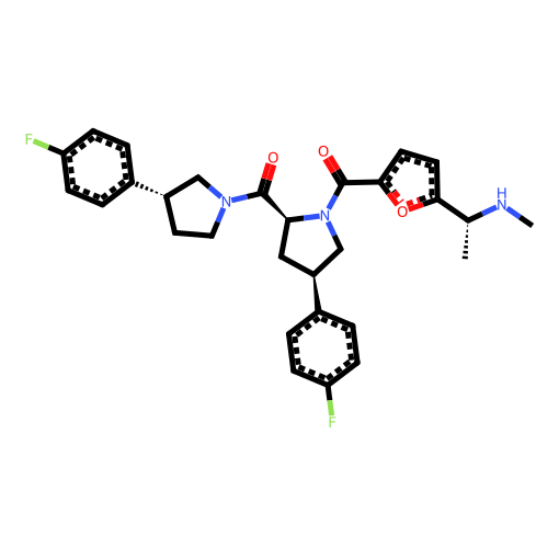 CN[C@H](C)c1ccc(C(=O)N2C[C@@H](c3ccc(F)cc3)C[C@H]2C(=O)N2CC[C@H](c3ccc(F)cc3)C2)o1